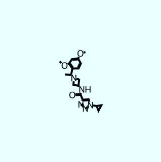 COc1ccc(C(C)N2CC(NC(=O)c3cn(C4CC4)nn3)C2)c(OC)c1